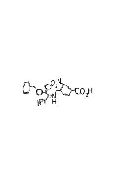 CC(C)[C@H](NCc1ccc(C(=O)O)cc1[N+](=O)[O-])C(=O)OCc1ccccc1